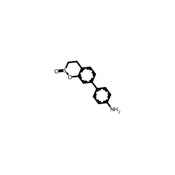 Nc1ccc(-c2ccc3c(c2)OS(=O)CC3)cc1